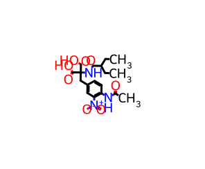 CCC(CC)C(=O)NC(Cc1ccc(NC(C)=O)c([N+](=O)[O-])c1)(C(=O)O)C(=O)O